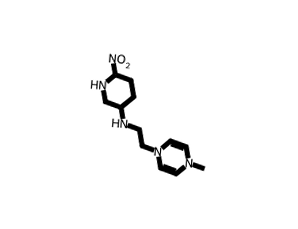 CN1C=CN(CCNC2CCC([N+](=O)[O-])NC2)C=C1